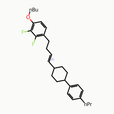 CCCCOc1ccc(CC/C=C/C2CCC(c3ccc(CCC)cc3)CC2)c(F)c1F